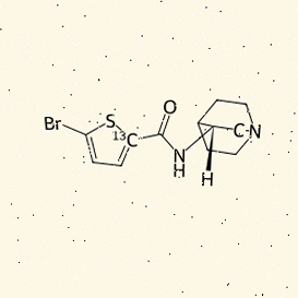 O=C(N[C@H]1CN2CCC1CC2)[13c]1ccc(Br)s1